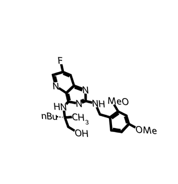 CCCC[C@](C)(CO)Nc1nc(NCc2ccc(OC)cc2OC)nc2cc(F)cnc12